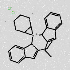 CCC1=Cc2ccccc2[CH]1[Hf+2]1([CH]2C(CC)=Cc3ccccc32)[CH]2CCCC[CH]21.[Cl-].[Cl-]